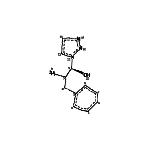 [2H]C(Cc1ccccc1)[C@H](O)n1ccnn1